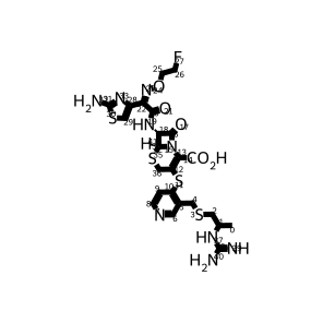 CC(CSCc1cnccc1SC1=C(C(=O)O)N2C(=O)[C@@H](NC(=O)/C(=N\OCCF)c3csc(N)n3)[C@@H]2SC1)NC(=N)N